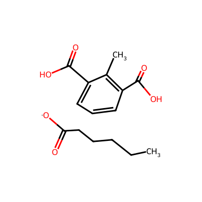 CCCCCC([O])=O.Cc1c(C(=O)O)cccc1C(=O)O